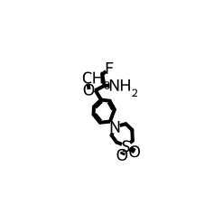 COC(C1=CC=CC(N2CCCS(=O)(=O)CC2)C=C1)C(N)CF